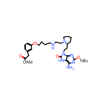 CCCCOc1nc(N)c2[nH]c(=O)n(CCC3CCCCN3CCNCCCCOc3cccc(CC(=O)OC)c3)c2n1